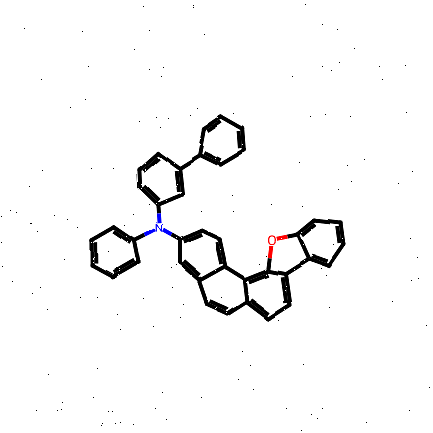 c1ccc(-c2cccc(N(c3ccccc3)c3ccc4c(ccc5ccc6c7ccccc7oc6c54)c3)c2)cc1